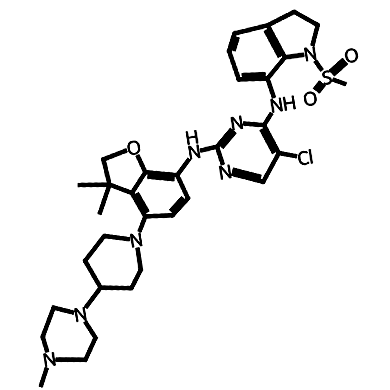 CN1CCN(C2CCN(c3ccc(Nc4ncc(Cl)c(Nc5cccc6c5N(S(C)(=O)=O)CC6)n4)c4c3C(C)(C)CO4)CC2)CC1